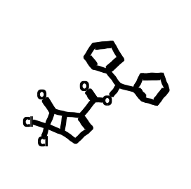 O=C(OC(c1ccccc1)c1ccccc1)C1=CCC2C1C(=O)C2(Cl)Cl